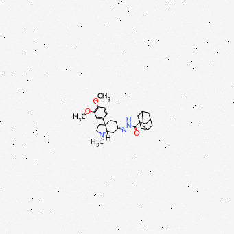 COc1ccc([C@@]23CCC(=NNC(=O)C45CC6CC(CC(C6)C4)C5)C[C@@H]2N(C)CC3)cc1OC